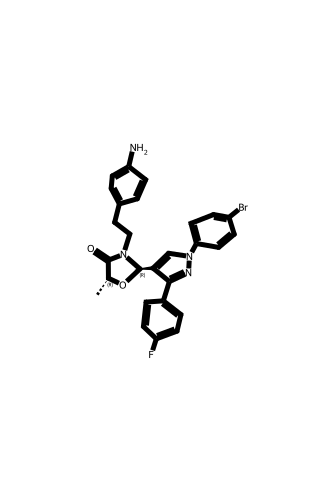 C[C@H]1O[C@H](c2cn(-c3ccc(Br)cc3)nc2-c2ccc(F)cc2)N(CCc2ccc(N)cc2)C1=O